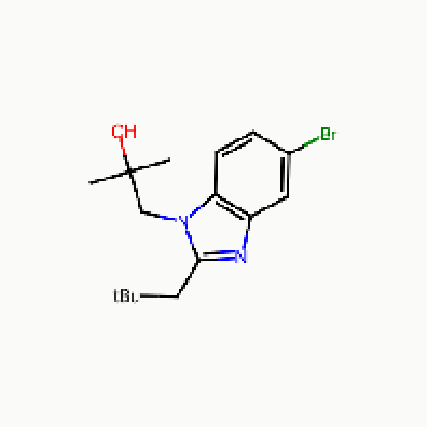 CC(C)(C)Cc1nc2cc(Br)ccc2n1CC(C)(C)O